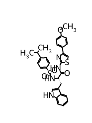 COc1ccc(-c2csc(NC(=O)[C@H](Cc3c[nH]c4ccccc34)NS(=O)(=O)c3ccc(C(C)C)cc3)n2)cc1